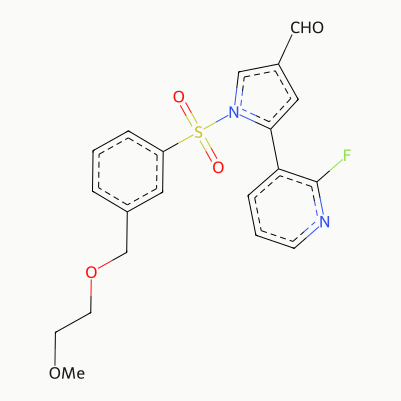 COCCOCc1cccc(S(=O)(=O)n2cc(C=O)cc2-c2cccnc2F)c1